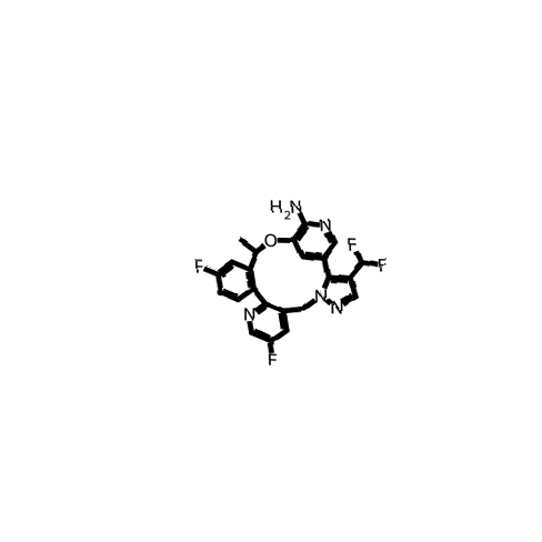 CC1Oc2cc(cnc2N)-c2c(C(F)F)cnn2Cc2cc(F)cnc2-c2ccc(F)cc21